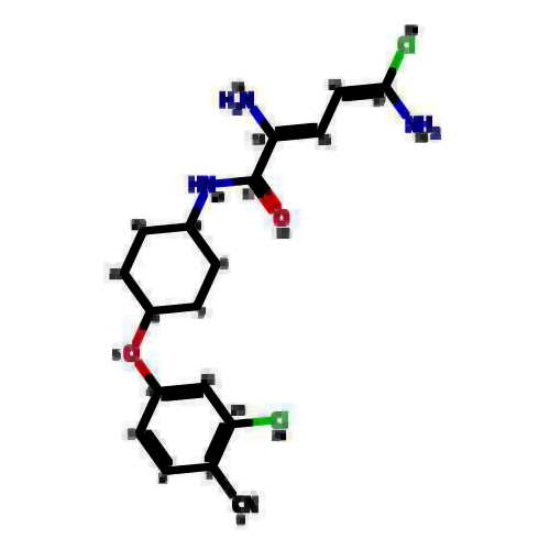 N#Cc1ccc(OC2CCC(NC(=O)/C(N)=C/C=C(\N)Cl)CC2)cc1Cl